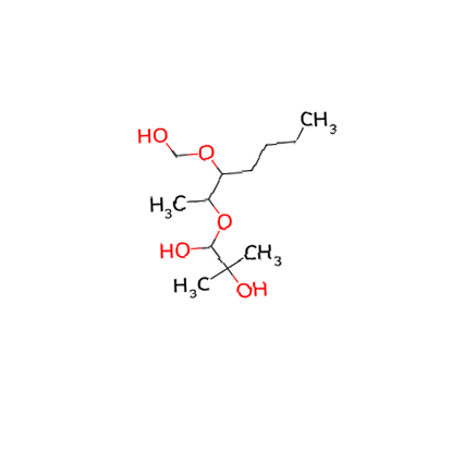 CCCCC(OCO)C(C)OC(O)C(C)(C)O